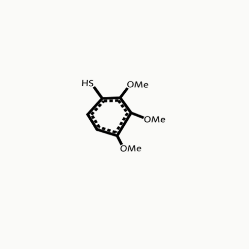 COc1ccc(S)c(OC)c1OC